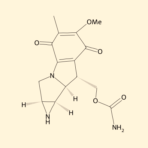 COC1=C(C)C(=O)C2=C(C1=O)[C@H](COC(N)=O)[C@H]1[C@H]3N[C@H]3CN21